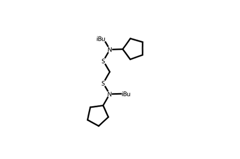 CCC(C)N(SCSN(C(C)CC)C1CCCC1)C1CCCC1